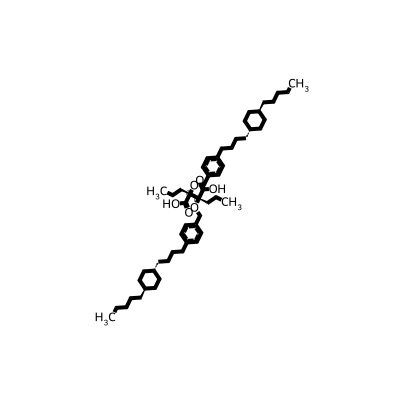 CCCCC[C@H]1CC[C@H](CCCCc2ccc(CO[C@@](CCC)(C(=O)O)[C@@](CCC)(OCc3ccc(CCCC[C@H]4CC[C@H](CCCCC)CC4)cc3)C(=O)O)cc2)CC1